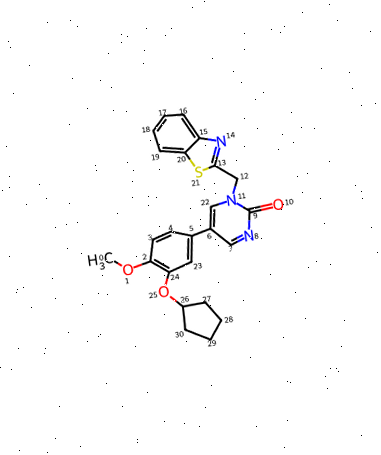 COc1ccc(-c2cnc(=O)n(Cc3nc4ccccc4s3)c2)cc1OC1CCCC1